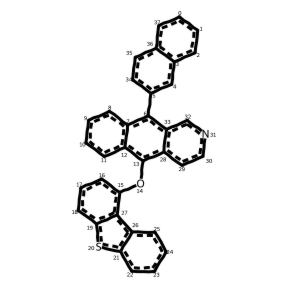 c1ccc2cc(-c3c4ccccc4c(Oc4cccc5sc6ccccc6c45)c4ccncc34)ccc2c1